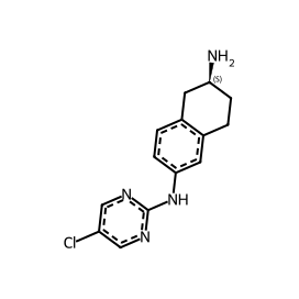 N[C@H]1CCc2cc(Nc3ncc(Cl)cn3)ccc2C1